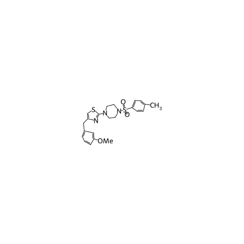 COc1cccc(Cc2csc(N3CCN(S(=O)(=O)c4ccc(C)cc4)CC3)n2)c1